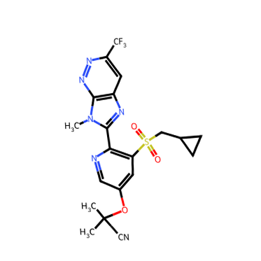 Cn1c(-c2ncc(OC(C)(C)C#N)cc2S(=O)(=O)CC2CC2)nc2cc(C(F)(F)F)nnc21